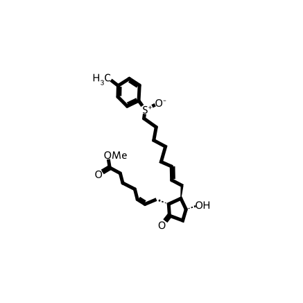 COC(=O)CCC/C=C\C[C@H]1C(=O)C[C@@H](O)[C@@H]1C/C=C/CCCCC[S+]([O-])c1ccc(C)cc1